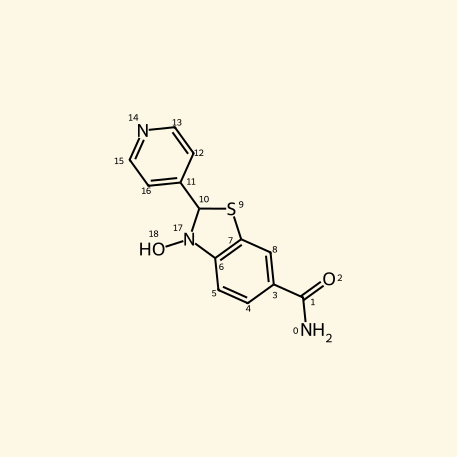 NC(=O)c1ccc2c(c1)SC(c1ccncc1)N2O